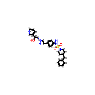 O=S(=O)(Nc1ccc(CCNC[C@H](O)c2cccnc2)cc1)N1CCC(Cc2ccccc2)CC1